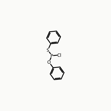 ClP(Oc1ccccc1)Sc1ccccc1